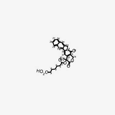 CCC1(OC(=O)CCCCCC(=O)O)C(=O)OCc2c1cc1n(c2=O)Cc2cc3ccccc3nc2-1